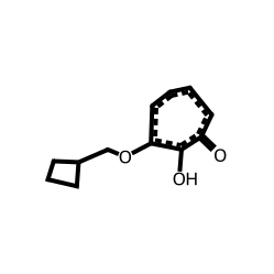 O=c1ccccc(OCC2CCC2)c1O